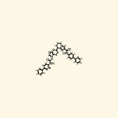 O=C(Cn1cnc2c1CCC(C1CCCn3cc(C(=O)Nc4ccc(-c5ccccc5)cc4)nc31)C2)Nc1ccc(-c2ccccc2)cn1